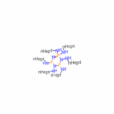 CCCCCCCNN1P(NCCCCCCC)N=P(NCCCCCCC)(NCCCCCCC)N(NCCCCCCC)P1NCCCCCCC